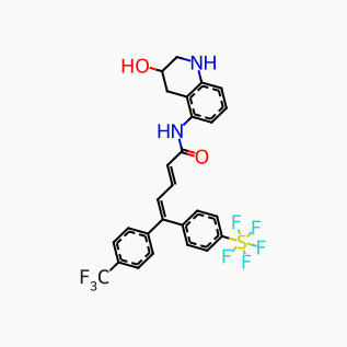 O=C(/C=C/C=C(/c1ccc(C(F)(F)F)cc1)c1ccc(S(F)(F)(F)(F)F)cc1)Nc1cccc2c1CC(O)CN2